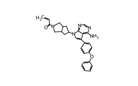 C=CC(=O)N1CC2CC(n3cc(-c4ccc(Oc5ccccc5)cc4)c4c(N)ncnc43)CC2C1